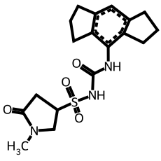 CN1CC(S(=O)(=O)NC(=O)Nc2c3c(cc4c2CCC4)CCC3)CC1=O